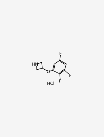 Cl.Fc1cc(F)c(F)c(OC2CNC2)c1